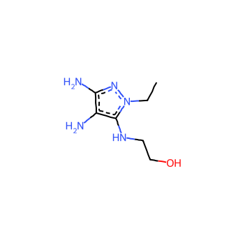 CCn1nc(N)c(N)c1NCCO